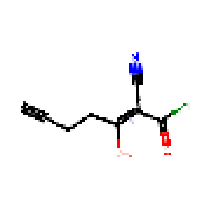 C#CCC/C(O)=C(\C#N)C(=O)Cl